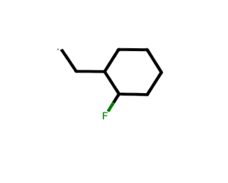 [CH2]CC1CCCCC1F